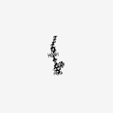 COCCOCCOc1ccc(NC(O)C2CN(c3cc(C)c4c(n3)N(c3ncns3)CC(C(=O)O)C4=O)C2)nc1